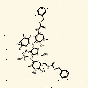 C[C@H]1[C@@H](O[C@H]2[C@@H](O)[C@H](O[C@@H]3[C@@H](O)[C@H](C)C[C@H](NC(=O)OCc4ccccc4)[C@H]3O[C@H]3O[C@H](CO[Si](C)(C)C(C)(C)C)[C@@H]4OC4[C@H]3C)O[C@@H]2CO)O[C@@H](CNC(=O)OCc2ccccc2)[C@@H](O)[C@@H]1O